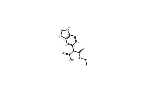 CCOC(=O)C(C(=O)O)c1ccc2c(c1)CCO2